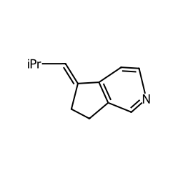 CC(C)/C=C1\CCc2cnccc21